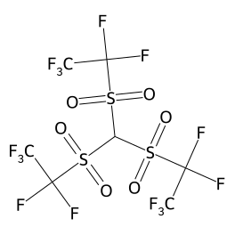 O=S(=O)(C(S(=O)(=O)C(F)(F)C(F)(F)F)S(=O)(=O)C(F)(F)C(F)(F)F)C(F)(F)C(F)(F)F